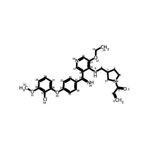 C=CC(=O)N1CCC(CNc2c(OCC)cncc2C(=N)c2ccc(Oc3cccc(OC)c3Cl)cc2)C1